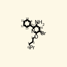 CC(C)CCCOc1nc(-c2ccccc2)c(N)cc1Br